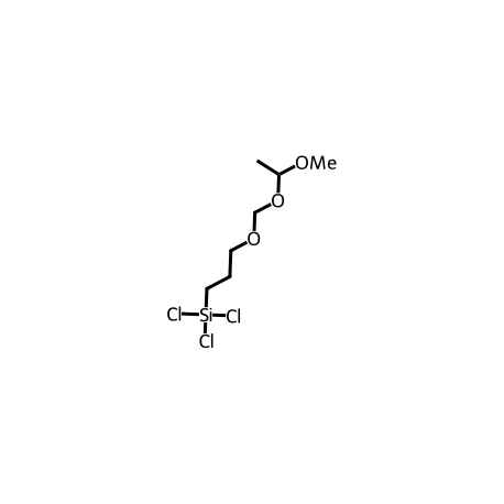 COC(C)OCOCCC[Si](Cl)(Cl)Cl